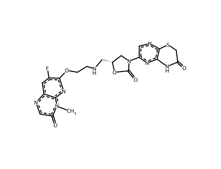 Cn1c(=O)cnc2cc(F)c(OCCNC[C@@H]3CN(c4cnc5c(n4)NC(=O)CS5)C(=O)O3)nc21